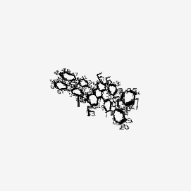 Fc1cc2c(-c3cccc([Si](c4ccccc4)(c4ccccc4)c4ccccc4)c3)c3cc(F)c(F)cc3c(-c3cccc([Si](c4ccccc4)(c4ccccc4)c4ccccc4)c3)c2cc1F